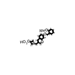 COc1ccccc1COc1ccc2c(c1)OCC(CN1CC(C(=O)O)C1)=C2